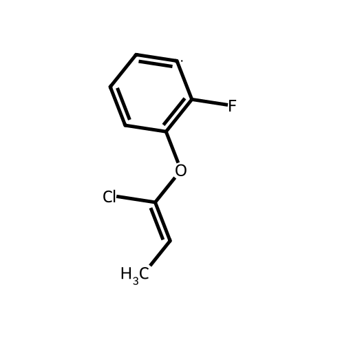 CC=C(Cl)Oc1ccc[c]c1F